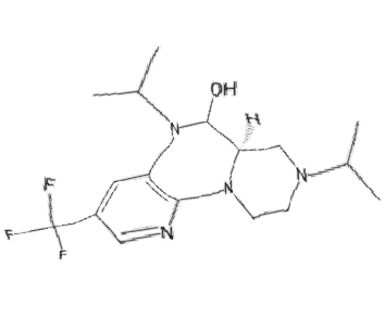 CC(C)N1CCN2c3ncc(C(F)(F)F)cc3N(C(C)C)C(O)[C@H]2C1